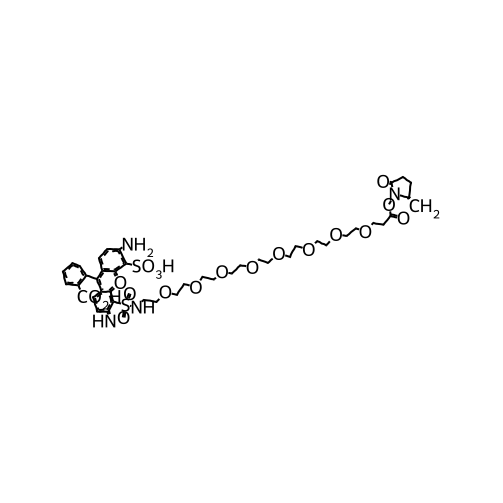 C=C1CCC(=O)N1OC(=O)CCOCCOCCOCCOCCOCCOCCOCCOCCNS(=O)(=O)c1c2oc3c(S(=O)(=O)O)c(N)ccc3c(-c3ccccc3C(=O)O)c-2ccc1=N